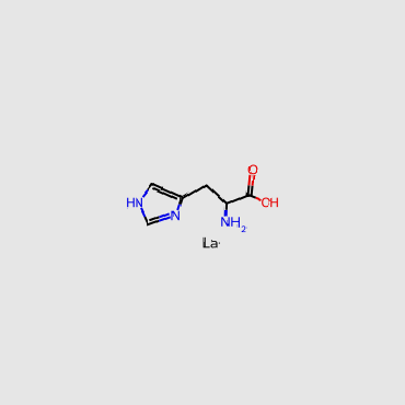 NC(Cc1c[nH]cn1)C(=O)O.[La]